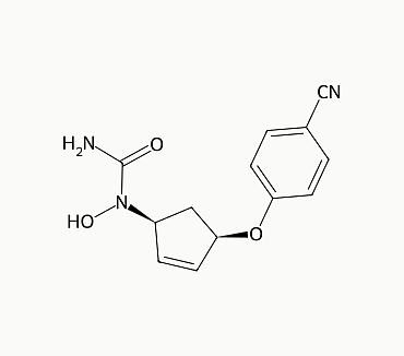 N#Cc1ccc(O[C@H]2C=C[C@@H](N(O)C(N)=O)C2)cc1